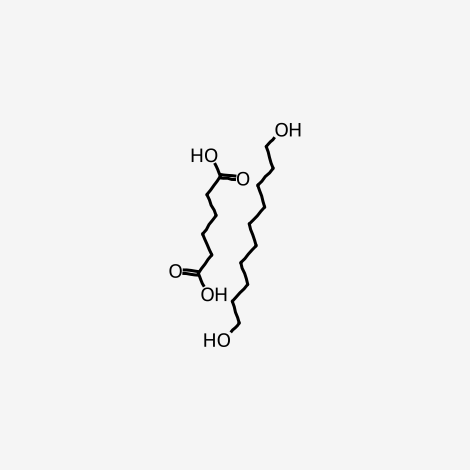 O=C(O)CCCCC(=O)O.OCCCCCCCCCCO